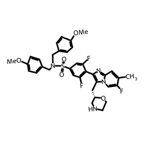 COc1ccc(CN(Cc2ccc(OC)cc2)S(=O)(=O)c2cc(F)c(-c3nc4cc(C)c(F)cn4c3C[C@H]3CNCCO3)c(F)c2)cc1